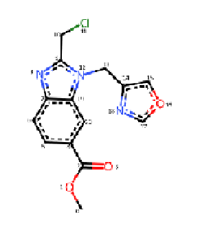 COC(=O)c1ccc2nc(CCl)n(Cc3cocn3)c2c1